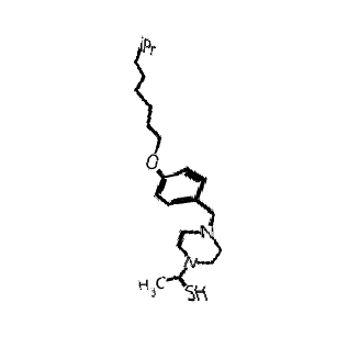 CC(C)CCCCCCOc1ccc(CN2CCN(C(C)S)CC2)cc1